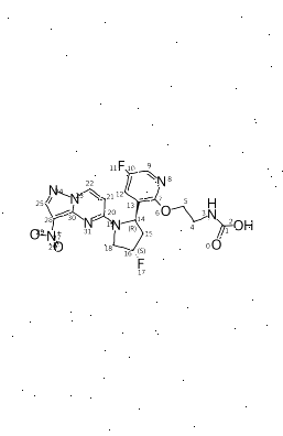 O=C(O)NCCOc1ncc(F)cc1[C@H]1C[C@H](F)CN1c1ccn2ncc([N+](=O)[O-])c2n1